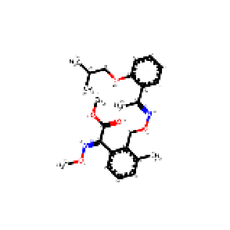 CO/N=C(/C(=O)OC)c1cccc(C)c1CO/N=C(\C)c1ccccc1OCC(C)C